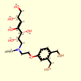 CCCCCCN(CCOc1ccc(CS)c(CS)c1)C[C@H](O)[C@@H](O)C(O)=C[C@H](O)CO